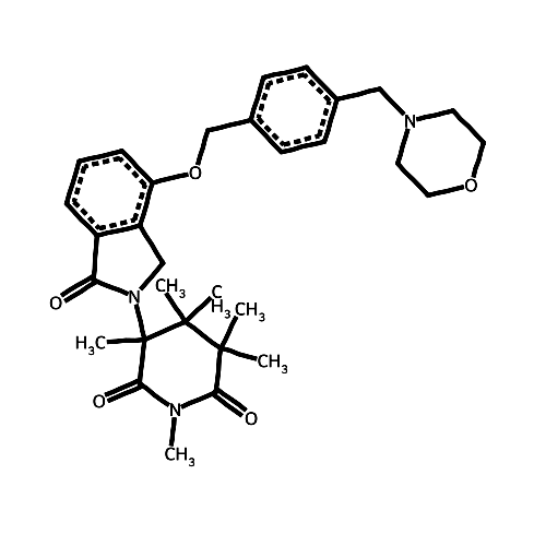 CN1C(=O)C(C)(C)C(C)(C)C(C)(N2Cc3c(OCc4ccc(CN5CCOCC5)cc4)cccc3C2=O)C1=O